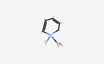 C[N+]1(Cl)C=CC=CC1